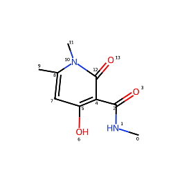 CNC(=O)c1c(O)cc(C)n(C)c1=O